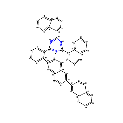 c1ccc(-c2nc(-c3cccc4ccccc34)nc(-c3cccc4ccccc34)n2)c(-c2ccc3cc(-c4ccc5ccccc5c4)ccc3c2)c1